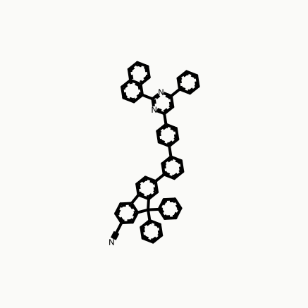 N#Cc1ccc2c(c1)C(c1ccccc1)(c1ccccc1)c1cc(-c3cccc(-c4ccc(-c5cc(-c6ccccc6)nc(-c6cccc7ccccc67)n5)cc4)c3)ccc1-2